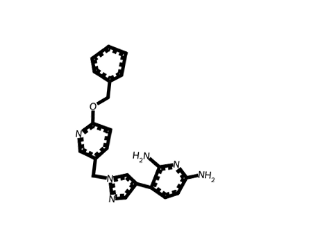 Nc1ccc(-c2cnn(Cc3ccc(OCc4ccccc4)nc3)c2)c(N)n1